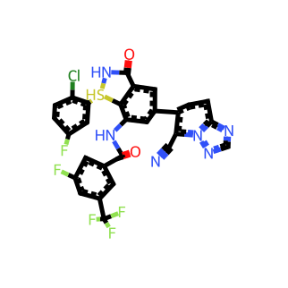 N#Cc1c(-c2cc(NC(=O)c3cc(F)cc(C(F)(F)F)c3)c3c(c2)C(=O)N[SH]3c2cc(F)ccc2Cl)ccc2ncnn12